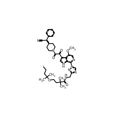 COc1cnc(-n2cnc(CNC(=O)C(C)(C)CCOC(C)(C)CCI)n2)c2[nH]cc(C(=O)C(=O)N3CCC(=C(C#N)c4ccccc4)CC3)c12